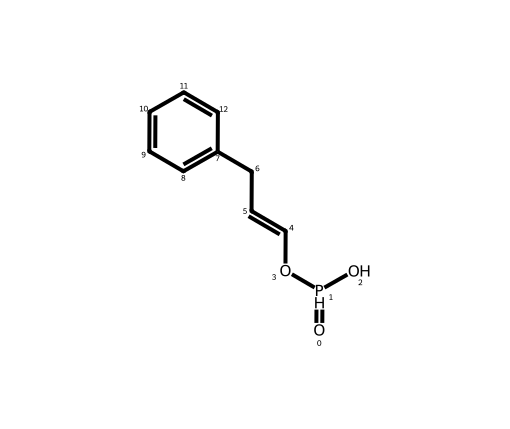 O=[PH](O)OC=CCc1ccccc1